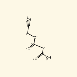 C#CCOC(=O)CC(=O)O